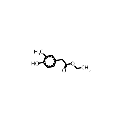 CCOC(=O)Cc1ccc(O)c(C)c1